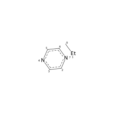 CCC.c1cnccn1